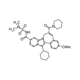 COc1ccc2c(c1)C=C(C(=O)N1CCCCC1)Cn1c-2c(C2CCCCC2)c2ccc(C(=O)NS(=O)(=O)N(C)C)cc21